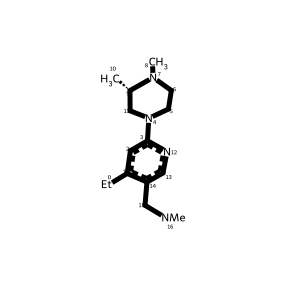 CCc1cc(N2CCN(C)[C@@H](C)C2)ncc1CNC